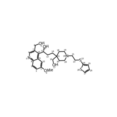 COc1ccc2ncc(CO)c([C@@H](O)CCC3(CO)CCN(CCSc4cccs4)CC3)c2c1